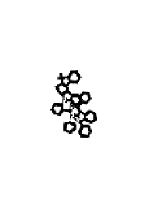 CC1(C)c2ccccc2-c2c1ccc1c2c2ccccc2n1-c1ccccc1-c1nc(-c2ccccc2)c2c(n1)[Si](c1ccccc1)(c1ccccc1)c1ccccc1-2